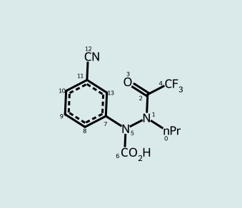 CCCN(C(=O)C(F)(F)F)N(C(=O)O)c1cccc(C#N)c1